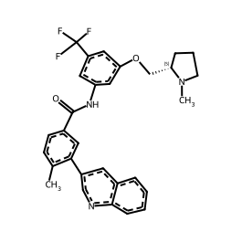 Cc1ccc(C(=O)Nc2cc(OC[C@@H]3CCCN3C)cc(C(F)(F)F)c2)cc1-c1cnc2ccccc2c1